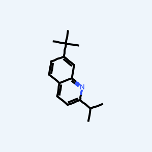 CC(C)c1ccc2ccc(C(C)(C)C)cc2n1